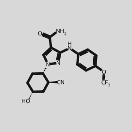 N#C[C@H]1C[C@H](O)CC[C@@H]1n1cc(C(N)=O)c(Nc2ccc(OC(F)(F)F)cc2)n1